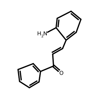 Nc1ccccc1C=CC(=O)c1ccccc1